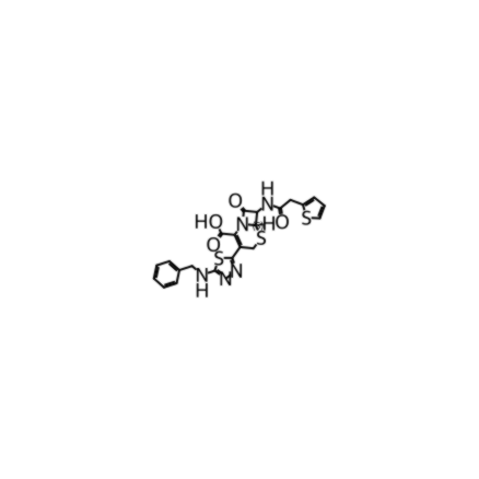 O=C(Cc1cccs1)NC1C(=O)N2C(C(=O)O)=C(c3nnc(NCc4ccccc4)s3)CS[C@@H]12